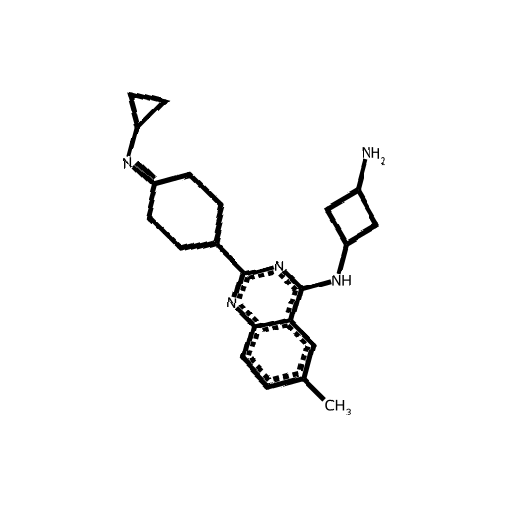 Cc1ccc2nc(C3CCC(=NC4CC4)CC3)nc(NC3CC(N)C3)c2c1